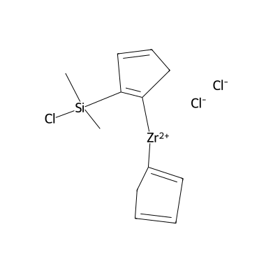 C[Si](C)(Cl)C1=[C]([Zr+2][C]2=CC=CC2)CC=C1.[Cl-].[Cl-]